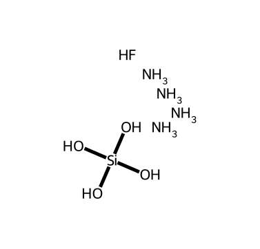 F.N.N.N.N.O[Si](O)(O)O